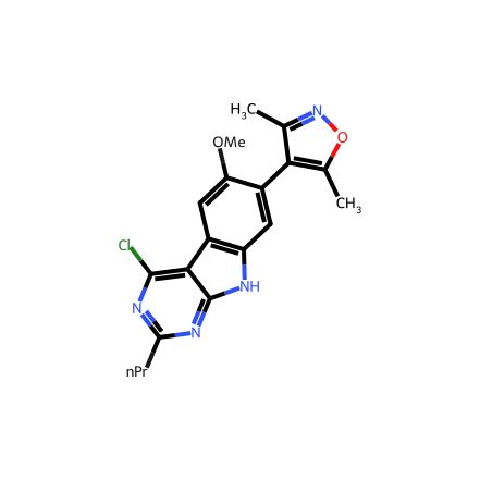 CCCc1nc(Cl)c2c(n1)[nH]c1cc(-c3c(C)noc3C)c(OC)cc12